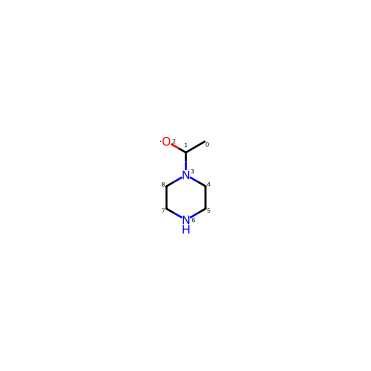 CC([O])N1CCNCC1